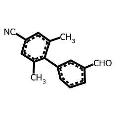 Cc1cc(C#N)cc(C)c1-c1cccc(C=O)c1